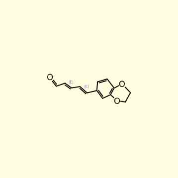 O=C/C=C/C=C/c1ccc2c(c1)OCCO2